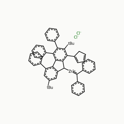 CC(C)(C)c1cc(-c2ccccc2)c2c(c1)[CH]([Zr+2]=[C](c1ccccc1)c1ccccc1)c1c(C3=CC=CC3)c(C(C)(C)C)c(-c3ccccc3)c(-c3ccccc3)c1-2.[Cl-].[Cl-]